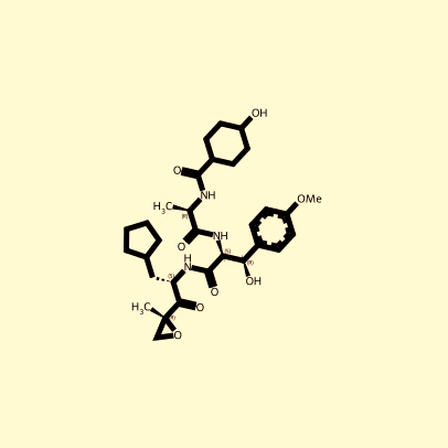 COc1ccc([C@@H](O)[C@H](NC(=O)[C@@H](C)NC(=O)C2CCC(O)CC2)C(=O)N[C@@H](CC2CCCC2)C(=O)[C@@]2(C)CO2)cc1